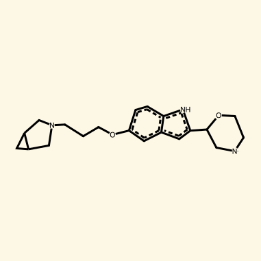 c1cc2[nH]c(C3C[N]CCO3)cc2cc1OCCCN1CC2CC2C1